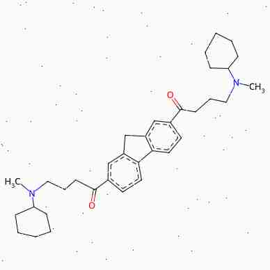 CN(CCCC(=O)c1ccc2c(c1)Cc1cc(C(=O)CCCN(C)C3CCCCC3)ccc1-2)C1CCCCC1